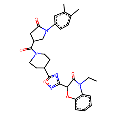 CCN1C(=O)C(c2noc(C3CCN(C(=O)C4CC(=O)N(c5ccc(C)c(C)c5)C4)CC3)n2)Oc2ccccc21